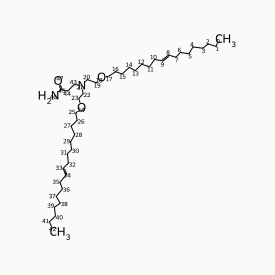 CCCCCCCCC=CCCCCCCCCOCCN(CCOCCCCCCCCC=CCCCCCCCC)CCC(N)=O